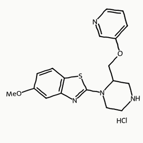 COc1ccc2sc(N3CCNCC3COc3cccnc3)nc2c1.Cl